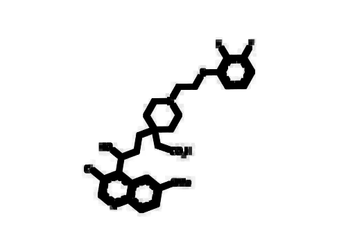 COc1ccc2ncc(Cl)c(C(O)CCC3(CC(=O)O)CCN(CCSc4cccc(F)c4F)CC3)c2c1